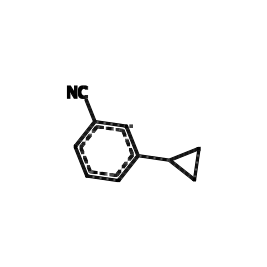 N#Cc1[c]c(C2CC2)ccc1